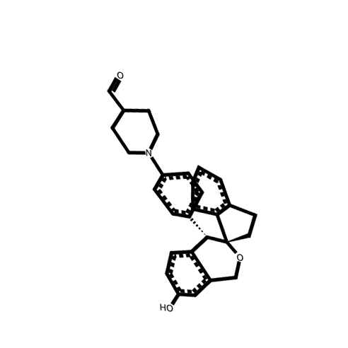 O=CC1CCN(c2ccc([C@H]3c4ccc(O)cc4CO[C@]34CCc3ccccc34)cc2)CC1